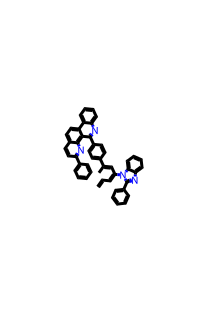 C=C/C=C(\C=C(/C)c1ccc(-c2nc3ccccc3c3ccc4ccc(-c5ccccc5)nc4c23)cc1)n1c(-c2ccccc2)nc2ccccc21